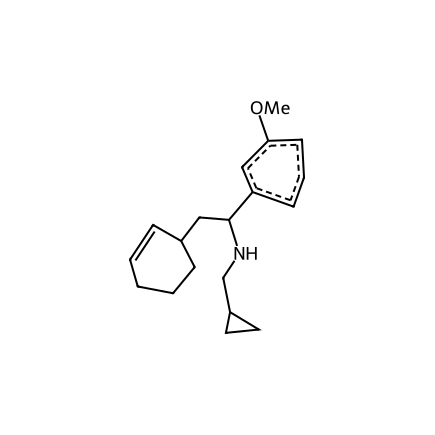 COc1cccc(C(CC2C=CCCC2)NCC2CC2)c1